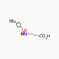 CC(C)(C)c1ccc(CCS(=O)(=O)NCCCCCCC(=O)O)cc1